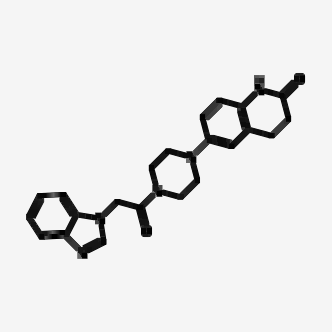 O=C1CCc2cc(N3CCN(C(=O)Cn4cnc5ccccc54)CC3)ccc2N1